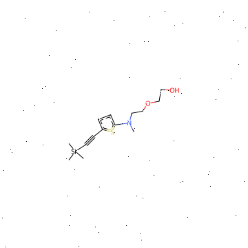 CN(CCOCCO)c1ccc(C#C[Si](C)(C)C)s1